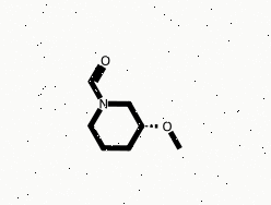 CO[C@@H]1CCCN(C=O)C1